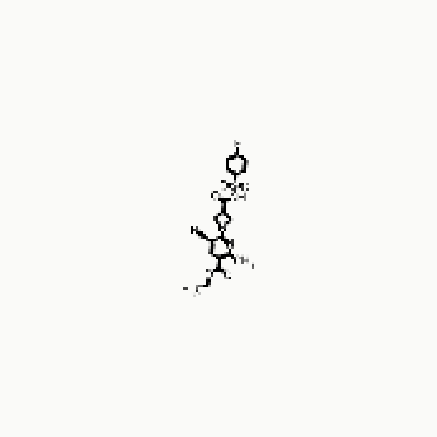 CCOC(=O)c1cc(C#N)c(N2CC(C(=O)NS(=O)(=O)c3ccc(F)cc3)C2)nc1C